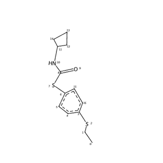 CCSc1ccc(SC(=O)NC2CCC2)cc1